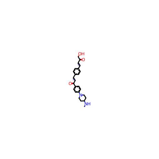 CNC1CCN(c2ccc(C(=O)/C=C/c3ccc(/C=C/C(=O)CO)cc3)cc2)CC1